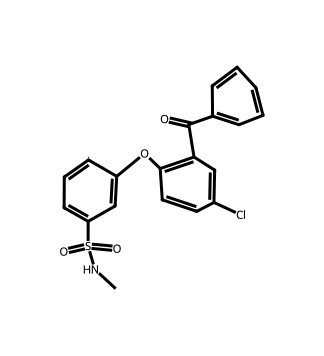 CNS(=O)(=O)c1cc[c]c(Oc2ccc(Cl)cc2C(=O)c2ccccc2)c1